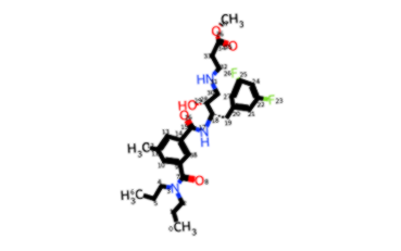 CCCN(CCC)C(=O)c1cc(C)cc(C(=O)N[C@@H](Cc2cc(F)cc(F)c2)[C@H](O)CNCCC(=O)OC)c1